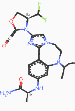 CC(C)N1CCn2cc(N3C(=C=O)OC[C@H]3C(F)F)nc2-c2ccc(N[C@@H](C)C(N)=O)cc21